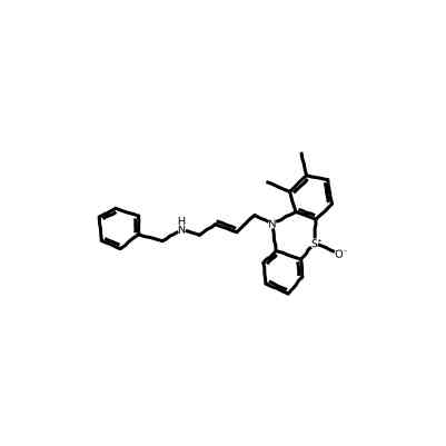 Cc1ccc2c(c1C)N(CC=CCNCc1ccccc1)c1ccccc1[S+]2[O-]